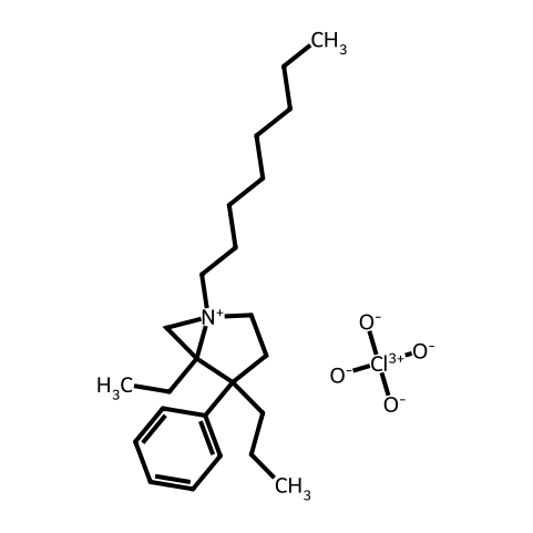 CCCCCCCC[N+]12CCC(CCC)(c3ccccc3)C1(CC)C2.[O-][Cl+3]([O-])([O-])[O-]